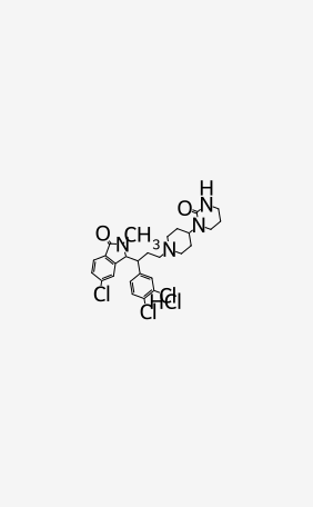 CN1C(=O)c2ccc(Cl)cc2C1C(CCN1CCC(N2CCCNC2=O)CC1)c1ccc(Cl)c(Cl)c1.Cl